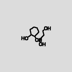 OC1CCCCC1O.OCCCO